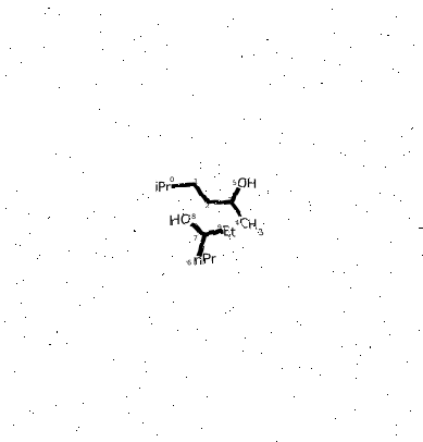 CC(C)CCC(C)O.CCCC(O)CC